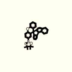 CC1(C)OB(c2ccc3c(c2)C2(c4ccccc4O3)c3ccccc3-c3c2ccc2ccccc32)OC1(C)C